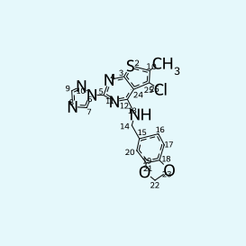 Cc1sc2nc(-n3cncn3)nc(NCc3ccc4c(c3)OCO4)c2c1Cl